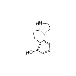 Oc1cccc2c1CCC1NCCC21